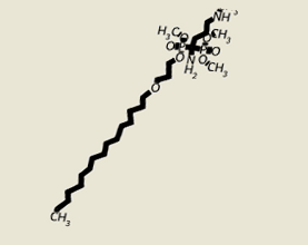 CCCCCCCCCCCCCCCCOCCCOP(=O)(OC)C(N)(CCCNC)P(=O)(OC)OC